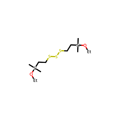 CCO[Si](C)(C)CCSSSCC[Si](C)(C)OCC